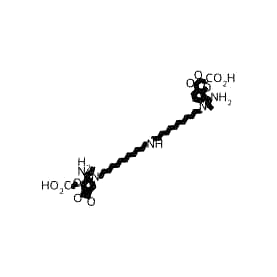 Cc1c(N)c2c3c(ccc2n1CCCCCCCCCCCCNCCCCCCCCCCCCn1c(C)c(N)c2c(OCC(=O)O)c4c(=O)c(=O)c4cc21)C(=O)C(=O)C(C(=O)O)O3